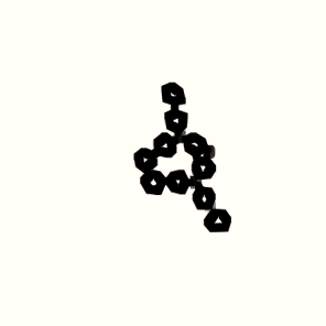 C1=C[C@H](c2ccccc2)CC=C1N(c1ccc(-c2ccccc2)cc1)c1ccc2oc3ccc(N(c4ccc(-c5ccccc5)cc4)c4ccc(-c5ccccc5)cc4)cc3c2c1